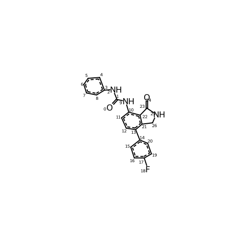 O=C(Nc1ccccc1)Nc1ccc(-c2ccc(F)cc2)c2c1C(=O)NC2